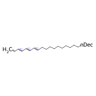 C=C/C=C/C=C/C=C/CCCCCCCCCCCCCCCCCCCC